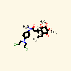 C=CCC1=C(C(C)(C)CC(=O)N(C)c2ccc(N(CCCl)CCCl)cc2)C(=O)C(OC)=C(OC)C1=O